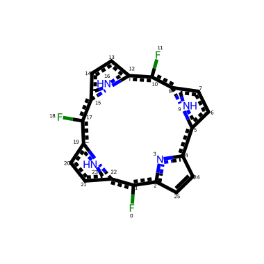 Fc1c2nc(c3ccc([nH]3)c(F)c3ccc([nH]3)c(F)c3ccc1[nH]3)C=C2